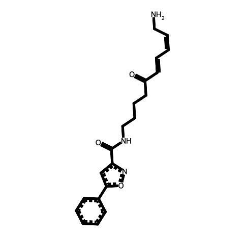 NC/C=C\C=CC(=O)CCCCNC(=O)c1cc(-c2ccccc2)on1